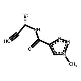 C#C[C@H](CC)NC(=O)c1cn(C)nn1